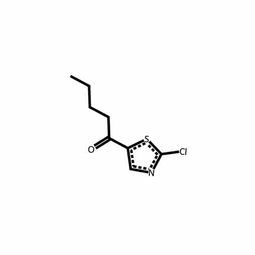 CCCCC(=O)c1cnc(Cl)s1